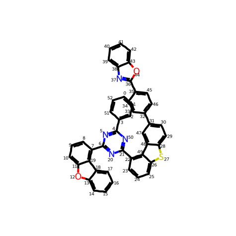 c1ccc(-c2nc(-c3cccc4oc5ccccc5c34)nc(-c3cccc4sc5ccc(-c6ccc(-c7nc8ccccc8o7)cc6)cc5c34)n2)cc1